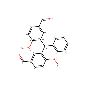 COc1ccc(C=O)cc1C(c1ccccc1)c1cc(C=O)ccc1OC